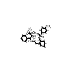 CC1(C)Oc2ccccc2C(NCCc2ccccc2NS(=O)(=O)c2ccc([N+](=O)[O-])cc2)C1O